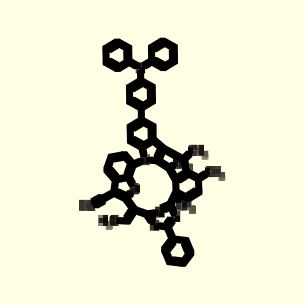 C#Cc1c2oc3c(cccc13)-n1c3c(c4cc(-c5ccc(N(c6ccccc6)c6ccccc6)cc5)ccc41)C(C)C1=C(C3C)C(C)(C=CC1C)c1nc(nc(-c3ccccc3)n1)/C2=C/C